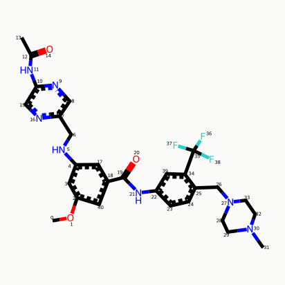 COc1cc(NCc2cnc(NC(C)=O)cn2)cc(C(=O)Nc2ccc(CN3CCN(C)CC3)c(C(F)(F)F)c2)c1